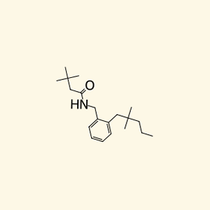 CCCC(C)(C)Cc1ccccc1CNC(=O)CC(C)(C)C